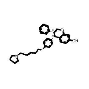 Oc1ccc2c(c1)OC[C@@H](c1ccccc1)[C@H]2c1ccc(SCCCCCN2CCCC2)cc1